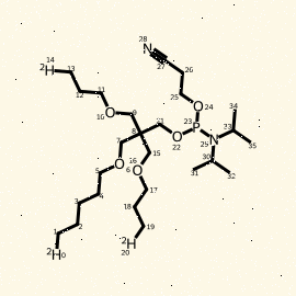 [2H]CCCCCOCC(COCCC[2H])(COCCC[2H])COP(OCCC#N)N(C(C)C)C(C)C